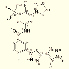 Cc1ccc(C(=O)Nc2cc(N3CCCC3)c(F)c(C(F)(F)F)c2)cc1-n1cc(-c2cnn(C)c2C)nn1